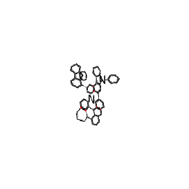 c1ccc(-n2c3ccccc3c3ccc(-c4ccccc4N(c4cccc(-c5cccc6c5oc5ccccc56)c4)c4ccccc4-c4cccc5cccc(C6CCCCC6)c45)cc32)cc1